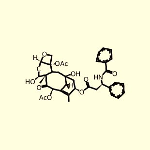 CC(=O)O[C@H]1C(=O)[C@@]2(C)C(C[C@]3(O)C[C@@H](OC(=O)C[C@@H](NC(=O)c4ccccc4)c4ccccc4)C(C)=C1[C@H]3C)[C@]1(OC(C)=O)CO[C@@H]1C[C@@H]2O